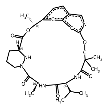 CC(C)[C@@H]1NC(=O)C(C)(C)COc2cc3cc(ccc3cn2)[C@@H](C)OC(=O)[C@H]2CCCN(N2)C(=O)[C@H](C)NC1=O